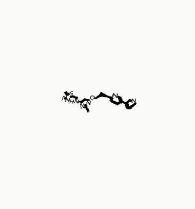 Cc1nc(NCc2nnc(C)s2)cc(OCC2CC2c2ccc(-c3cccnc3)cn2)n1